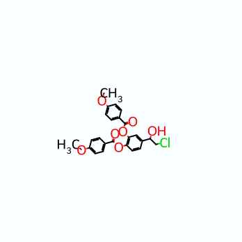 COc1ccc(C(=O)Oc2ccc(C(O)CCl)cc2OC(=O)c2ccc(OC)cc2)cc1